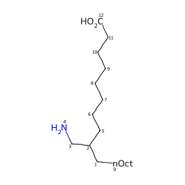 CCCCCCCCCC(CN)CCCCCCCC(=O)O